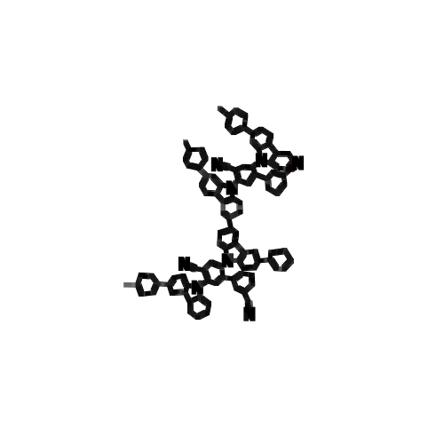 Cc1ccc(-c2ccc3c(c2)c2ccccc2n3-c2cc(-c3cccc(C#N)c3)c(-n3c4ccc(-c5ccccc5)cc4c4cc(-c5ccc6c(c5)c5ccc(-c7ccc(C)cc7)cc5n6-c5cc(-c6cccc(C#N)c6)c(-n6c7ccccc7c7ccc(-c8ccc(C)cc8)cc76)cc5C#N)ccc43)cc2C#N)cc1